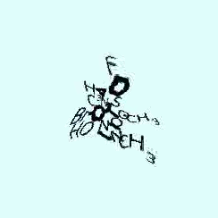 COC(=O)c1c(Sc2ccc(F)cc2)n(C2CC2)c2c(C)c(Br)c(O)c(N3CCN(C)CC3)c12